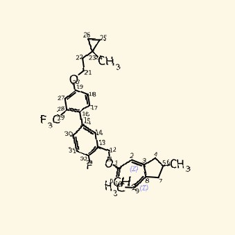 C=C(/C=C1/CC(C)C/C1=C/C)OCc1cc(-c2ccc(OCCC3(C)CC3)cc2C(F)(F)F)ccc1F